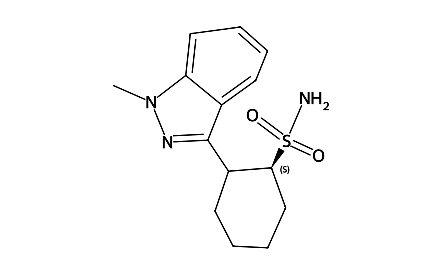 Cn1nc(C2CCCC[C@@H]2S(N)(=O)=O)c2ccccc21